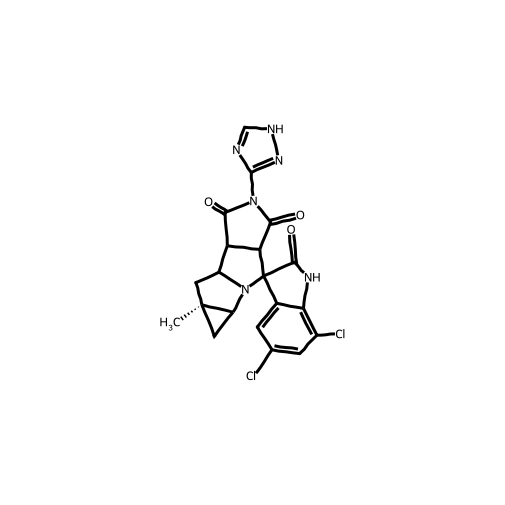 C[C@]12CC3C4C(=O)N(c5nc[nH]n5)C(=O)C4C4(C(=O)Nc5c(Cl)cc(Cl)cc54)N3C1C2